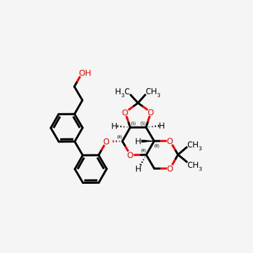 CC1(C)O[C@@H]2[C@H](O1)[C@@H](Oc1ccccc1-c1cccc(CCO)c1)O[C@@H]1COC(C)(C)O[C@@H]21